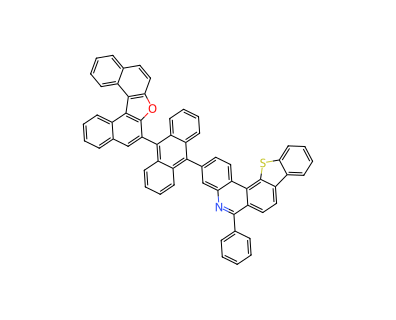 c1ccc(-c2nc3cc(-c4c5ccccc5c(-c5cc6ccccc6c6c5oc5ccc7ccccc7c56)c5ccccc45)ccc3c3c2ccc2c4ccccc4sc23)cc1